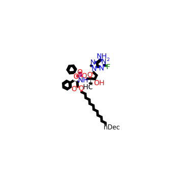 C#C[C@]1(CO[P@@](=O)(N[C@@H](Cc2ccccc2)C(=O)OCCCCCCCCCCCCCCCCCCCCCC)Oc2ccccc2)O[C@@H](n2cnc3c(N)nc(F)nc32)C[C@@H]1O